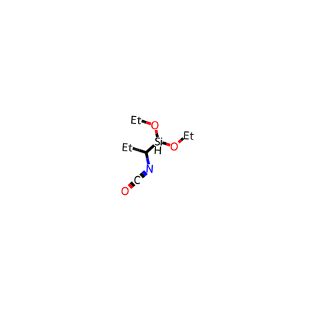 CCO[SiH](OCC)C(CC)N=C=O